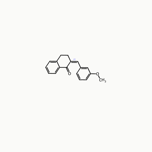 COc1cccc(/C=C2/CCc3ccccc3C2=O)c1